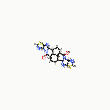 O=c1c2ccc3c4c(ccc(c24)c2nc4scnc4n12)c(=O)n1c2ncsc2nc31